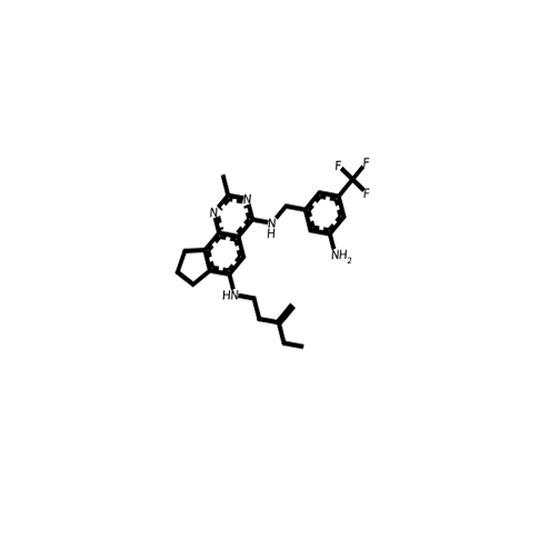 C=C(CC)CCNc1cc2c(NCc3cc(N)cc(C(F)(F)F)c3)nc(C)nc2c2c1CCC2